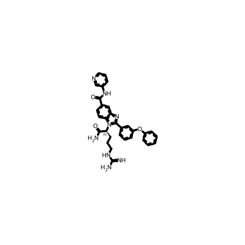 N=C(N)NCCC[C@@H](C(N)=O)n1c(-c2cccc(Oc3ccccc3)c2)nc2cc(C(=O)Nc3cccnc3)ccc21